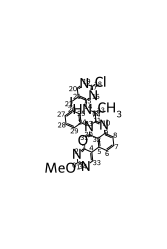 COc1ncc(-c2cccc3nc([C@@H](C)Nc4nc(Cl)ncc4I)n(-c4ccccc4)c(=O)c23)cn1